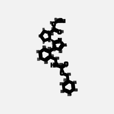 CC(C)(C)OC(=O)N1CCC[C@H]1c1nccn1-c1ccccc1CNC(=O)OCc1ccccc1